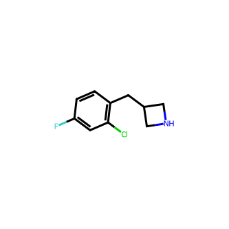 Fc1ccc(CC2CNC2)c(Cl)c1